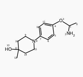 CC(N)Oc1ccc(N2CCC(C)(O)CC2)cc1